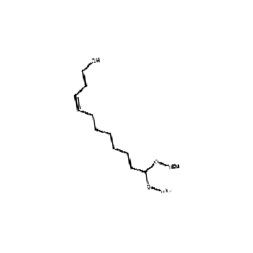 CCCCOC(CCCCCC/C=C\CCO)OCCCC